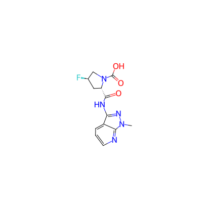 Cn1nc(NC(=O)[C@@H]2C[C@@H](F)CN2C(=O)O)c2cccnc21